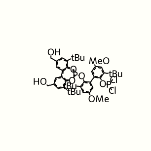 COc1cc(-c2cc(OC)cc(C(C)(C)C)c2Op2oc3c(C(C)(C)C)cc(CO)cc3c3cc(CO)cc(C(C)(C)C)c3o2)c(OP(Cl)Cl)c(C(C)(C)C)c1